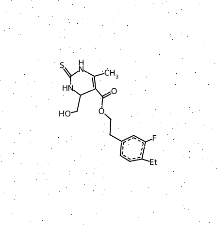 CCc1ccc(CCOC(=O)C2=C(C)NC(=S)NC2CO)cc1F